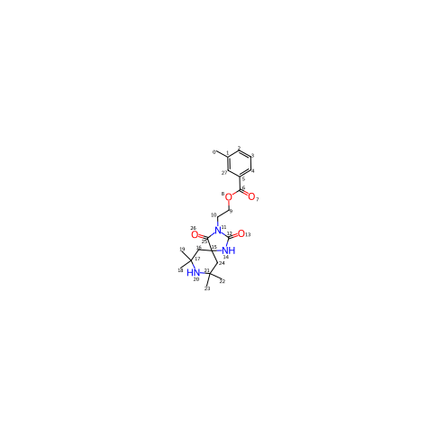 Cc1cccc(C(=O)OCCN2C(=O)NC3(CC(C)(C)NC(C)(C)C3)C2=O)c1